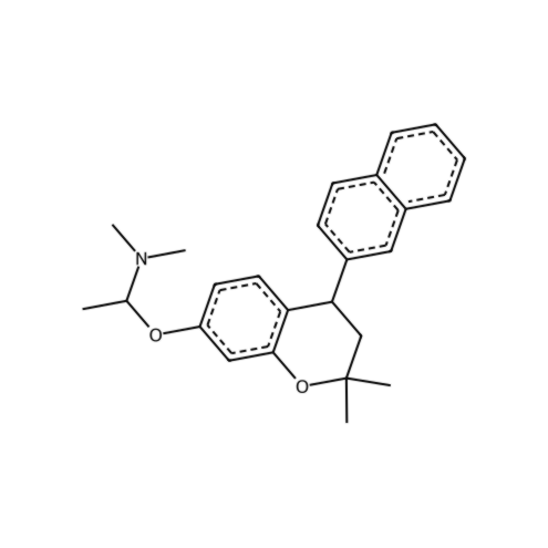 CC(Oc1ccc2c(c1)OC(C)(C)CC2c1ccc2ccccc2c1)N(C)C